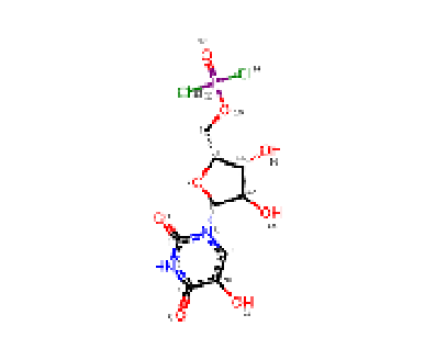 O=c1[nH]c(=O)n([C@@H]2O[C@H](COP(=O)(Cl)Cl)[C@H](O)C2O)cc1O